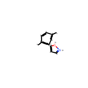 Cc1ccc(C)cc1.c1cnoc1